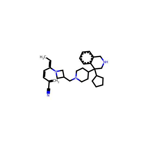 C=C(C#N)/C=C\C(=C/C)N1CC(CN2CCC(C3(C4CCCC4)CNCc4ccccc43)CC2)C1